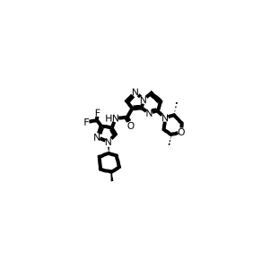 C[C@@H]1CN(c2ccn3ncc(C(=O)Nc4cn([C@H]5CC[C@H](C)CC5)nc4C(F)F)c3n2)[C@H](C)CO1